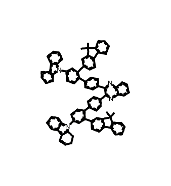 CC1(C)c2ccccc2-c2ccc(-c3cc(-n4c5c(c6ccccc64)C=CCC5)ccc3-c3ccc(-c4nc5ccccc5nc4-c4ccc(-c5ccc(-n6c7ccccc7c7ccccc76)cc5-c5ccc6c(c5)C(C)(C)c5ccccc5-6)cc4)cc3)cc21